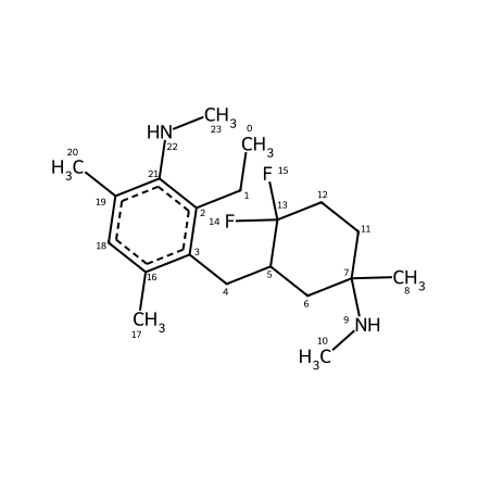 CCc1c(CC2CC(C)(NC)CCC2(F)F)c(C)cc(C)c1NC